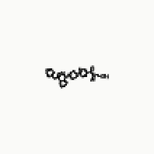 O=C(NCCO)c1ccc(N2CCN(c3nnc(Cc4ccccc4)c4ccccc34)CC2)nc1